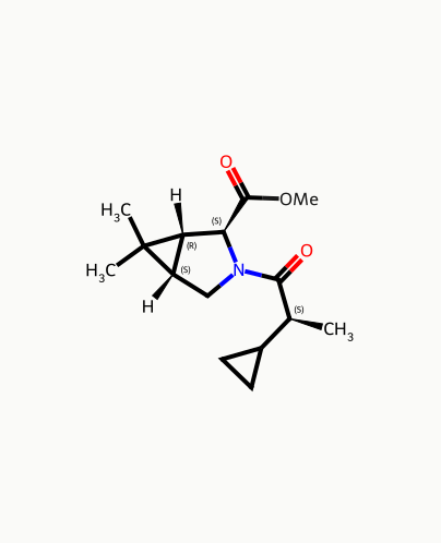 COC(=O)[C@@H]1[C@@H]2[C@H](CN1C(=O)[C@@H](C)C1CC1)C2(C)C